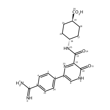 N=C(N)c1ccc(-c2c[nH]c(=O)c(C(=O)N[C@H]3CC[C@H](C(=O)O)CC3)n2)cc1